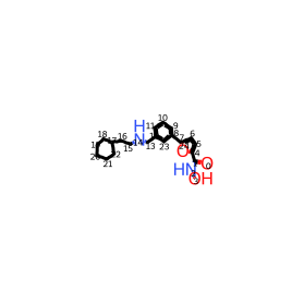 O=C(NO)c1ccc(-c2cccc(CNCCC3CCCCC3)c2)o1